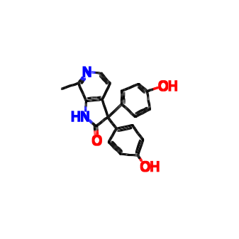 Cc1nccc2c1NC(=O)C2(c1ccc(O)cc1)c1ccc(O)cc1